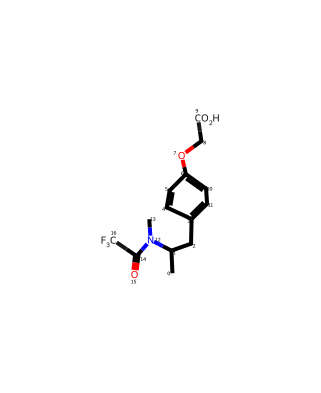 CC(Cc1ccc(OCC(=O)O)cc1)N(C)C(=O)C(F)(F)F